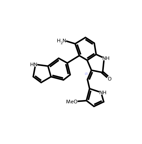 COc1cc[nH]c1/C=C1\C(=O)Nc2ccc(N)c(-c3ccc4cc[nH]c4c3)c21